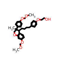 COCOc1ccc(C2(C)COc3cc(OCOC)ccc3C2CCCCc2ccc(OCCO)cc2)cc1